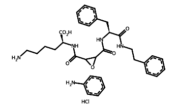 Cl.NCCCC[C@H](NC(=O)C1OC1C(=O)N[C@@H](Cc1ccccc1)C(=O)NCCc1ccccc1)C(=O)O.Nc1ccccc1